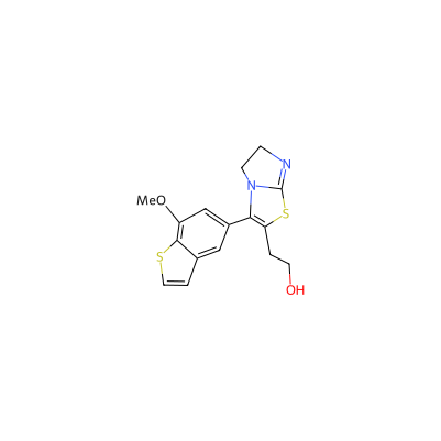 COc1cc(C2=C(CCO)SC3=NCCN32)cc2ccsc12